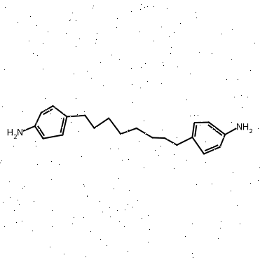 Nc1ccc(CCCCCCCCc2ccc(N)cc2)cc1